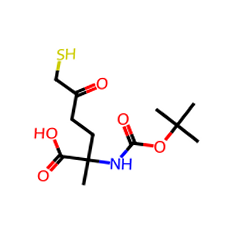 CC(C)(C)OC(=O)NC(C)(CCC(=O)CS)C(=O)O